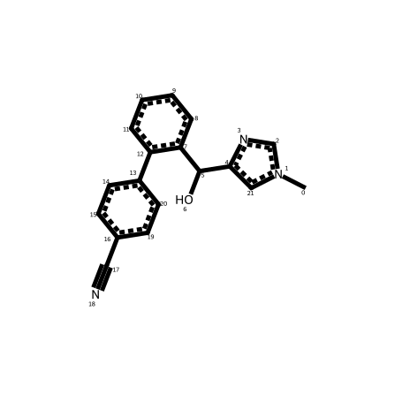 Cn1cnc(C(O)c2ccccc2-c2ccc(C#N)cc2)c1